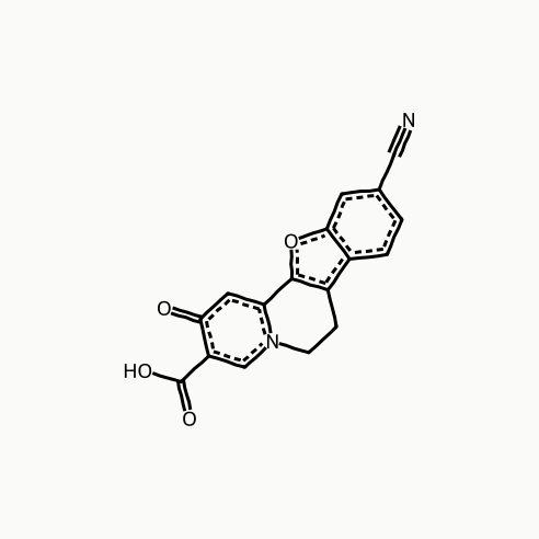 N#Cc1ccc2c3c(oc2c1)-c1cc(=O)c(C(=O)O)cn1CC3